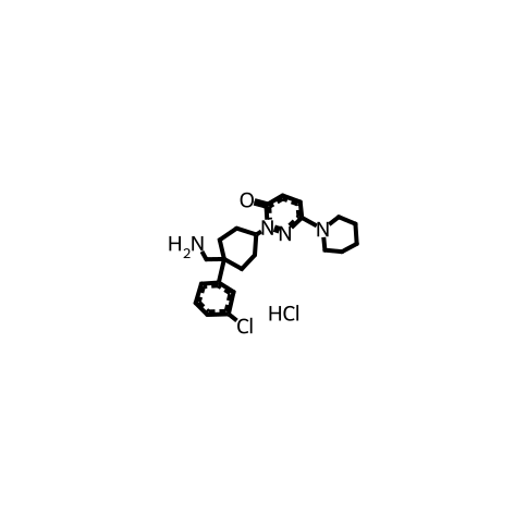 Cl.NCC1(c2cccc(Cl)c2)CCC(n2nc(N3CCCCC3)ccc2=O)CC1